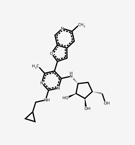 Cc1cc2cc(-c3c(C)nc(NCC4CC4)nc3N[C@@H]3C[C@H](CO)[C@@H](O)[C@H]3O)oc2cn1